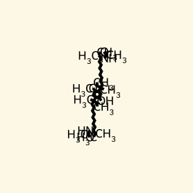 CCC(C)(CCCCCCCCC(NC(C)=O)C(C)C)c1cc(OC)c(C(C)(CC)CCCCCCCCC(NC(C)=O)C(C)C)cc1O